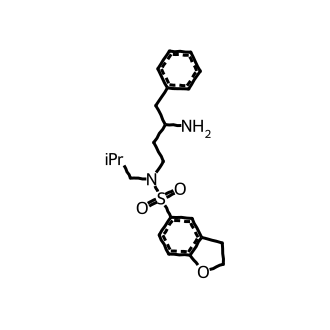 CC(C)CN(CCC(N)Cc1ccccc1)S(=O)(=O)c1ccc2c(c1)CCO2